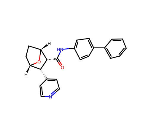 O=C(Nc1ccc(-c2ccccc2)cc1)[C@@H]1[C@H](c2ccncc2)[C@@H]2CC[C@H]1O2